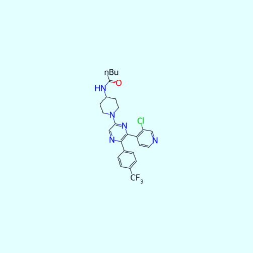 CCCCC(=O)NC1CCN(c2cnc(-c3ccc(C(F)(F)F)cc3)c(-c3ccncc3Cl)n2)CC1